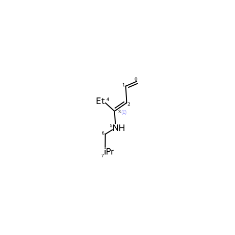 C=C/C=C(\CC)NCC(C)C